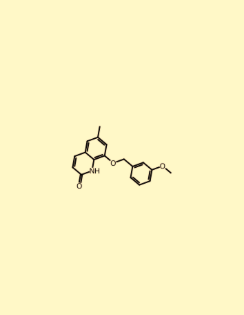 COc1cccc(COc2cc(C)cc3ccc(=O)[nH]c23)c1